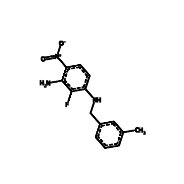 Cc1cccc(CNc2ccc([N+](=O)[O-])c(N)c2F)c1